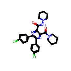 O=C(NN1CCCCC1)c1nc(-c2ccc(Cl)cc2)c(-c2ccc(Cl)cc2)nc1C(=O)N1CCCCC1